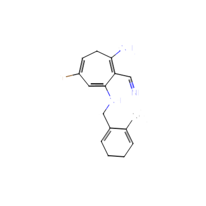 N=CC1=C(N)CC=C(Br)C=C1NCC1=CCCC=C1[N+](=O)[O-]